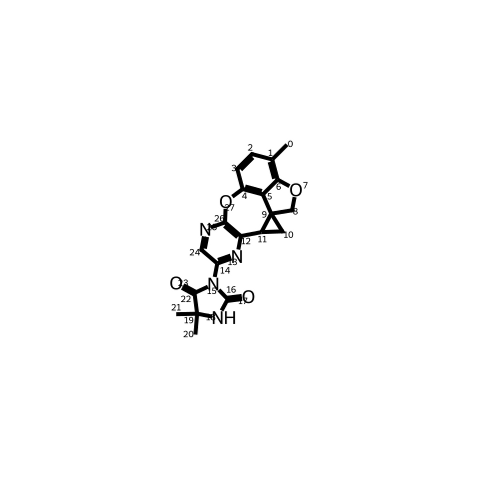 Cc1ccc2c3c1OCC31CC1c1nc(N3C(=O)NC(C)(C)C3=O)cnc1O2